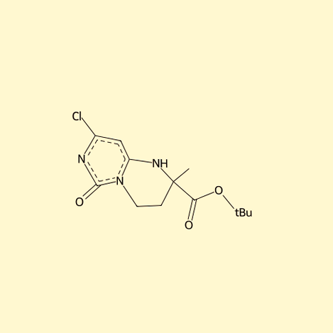 CC(C)(C)OC(=O)C1(C)CCn2c(cc(Cl)nc2=O)N1